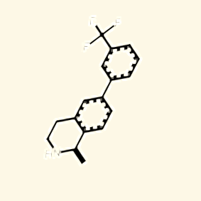 C=C1NCCc2cc(-c3cccc(C(F)(F)F)c3)ccc21